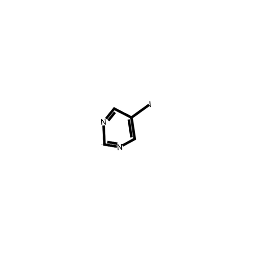 Ic1cn[c]nc1